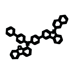 c1ccc(-c2ccc(N(c3ccc(-c4ccc5c(c4)c4ccccc4n5-c4ccc5ccccc5c4)cc3)c3cccc4c3oc3ccccc34)cc2)cc1